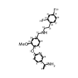 C=C(N)c1ccc(Oc2ccc(CNCCc3ccc(F)cc3F)cc2OC)nc1